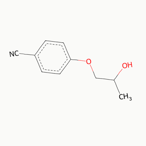 CC(O)COc1ccc(C#N)cc1